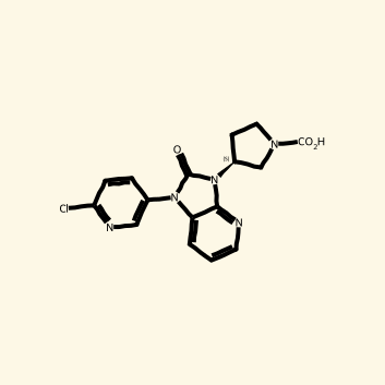 O=C(O)N1CC[C@H](n2c(=O)n(-c3ccc(Cl)nc3)c3cccnc32)C1